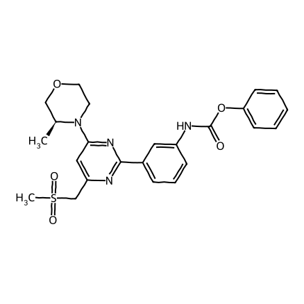 C[C@H]1COCCN1c1cc(CS(C)(=O)=O)nc(-c2cccc(NC(=O)Oc3ccccc3)c2)n1